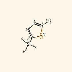 [Li][c]1ccc([Si](C)(C)C)s1